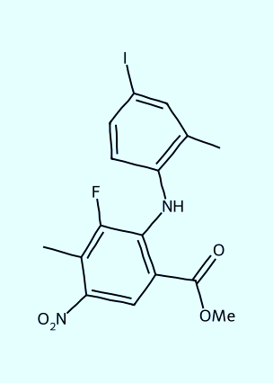 COC(=O)c1cc([N+](=O)[O-])c(C)c(F)c1Nc1ccc(I)cc1C